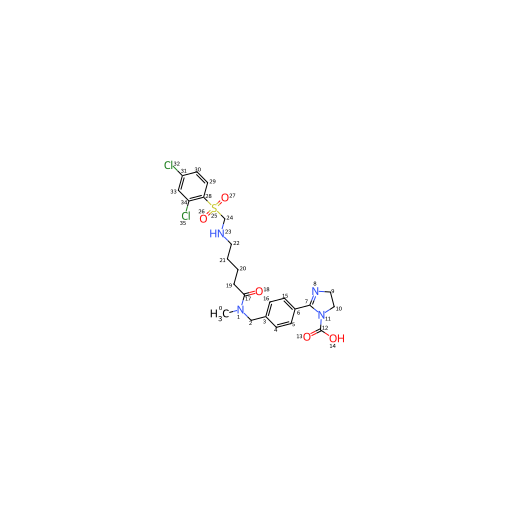 CN(Cc1ccc(C2=NCCN2C(=O)O)cc1)C(=O)CCCCNCS(=O)(=O)c1ccc(Cl)cc1Cl